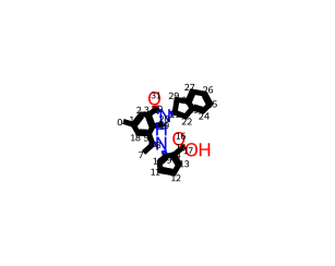 Cc1cc2c(c(C(C)Nc3ccccc3C(=O)O)c1)CN(C1Cc3ccccc3C1)C2=O